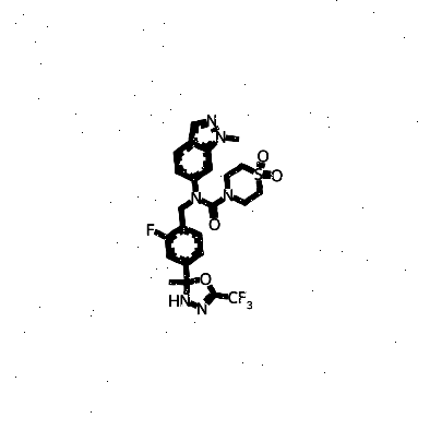 Cn1ncc2ccc(N(Cc3ccc(C4(C)NN=C(C(F)(F)F)O4)cc3F)C(=O)N3CCS(=O)(=O)CC3)cc21